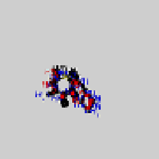 CC(O)C(NC(=O)C1CSSC[C@H](NC(=O)C(Cc2ccccc2)NC(=O)CCCC(=O)NC23CNCCNCC(N)(CNCCNC2)CNCCNC3)C(=O)NC(Cc2ccc(O)cc2)C(=O)N[C@H](Cc2c[nH]c3ccccc23)C(=O)NC(CCCCN)C(=O)NC(C(C)O)C(=O)N1)C(=O)O